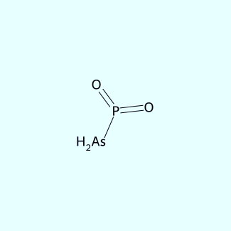 O=P(=O)[AsH2]